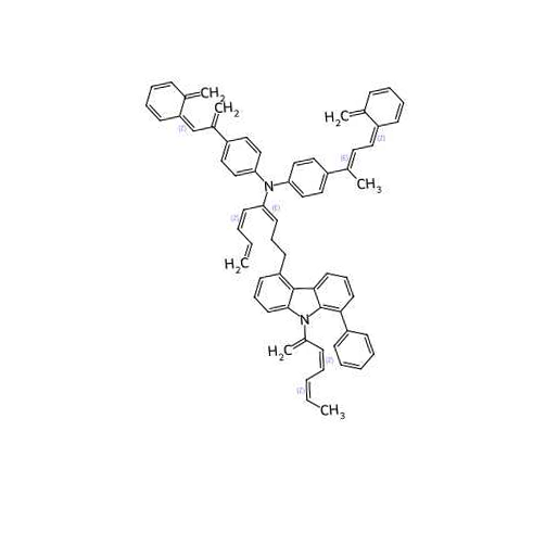 C=C/C=C\C(=C/CCc1cccc2c1c1cccc(-c3ccccc3)c1n2C(=C)/C=C\C=C/C)N(c1ccc(C(=C)/C=c2/ccccc2=C)cc1)c1ccc(/C(C)=C/C=c2/ccccc2=C)cc1